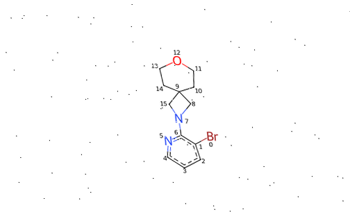 Brc1cccnc1N1CC2(CCOCC2)C1